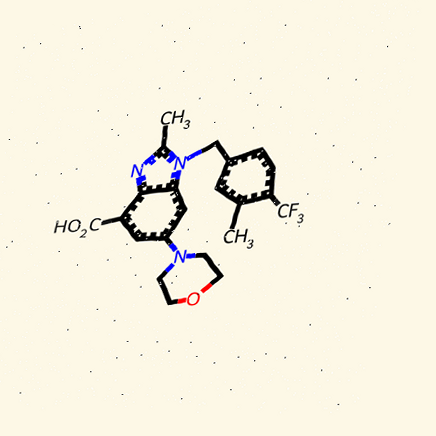 Cc1cc(Cn2c(C)nc3c(C(=O)O)cc(N4CCOCC4)cc32)ccc1C(F)(F)F